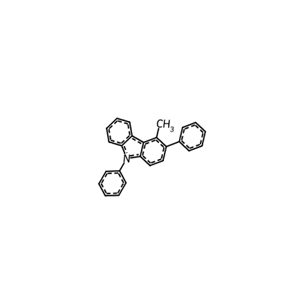 Cc1c(-c2ccccc2)ccc2c1c1ccccc1n2-c1ccccc1